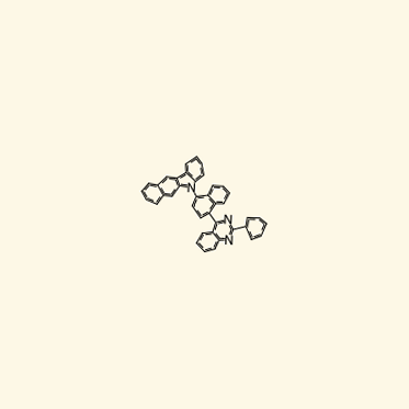 c1ccc(-c2nc(-c3ccc(-n4c5ccccc5c5cc6ccccc6cc54)c4ccccc34)c3ccccc3n2)cc1